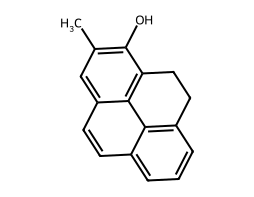 Cc1cc2ccc3cccc4c3c2c(c1O)CC4